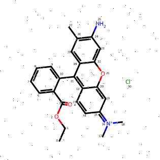 CCOC(=O)c1ccccc1-c1c2ccc(=[N+](C)C)cc-2oc2cc(N)c(C)cc12.[Cl-]